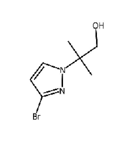 CC(C)(CO)n1ccc(Br)n1